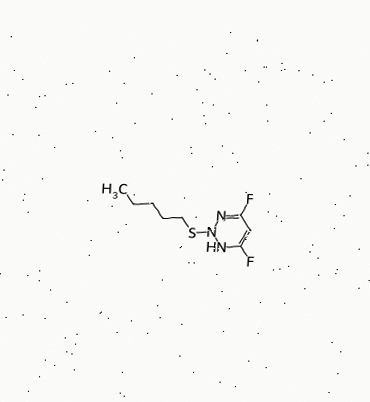 CCCCCSN1N=C(F)C=C(F)N1